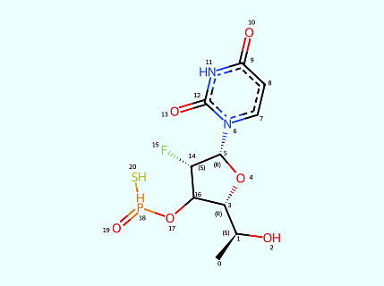 C[C@H](O)[C@H]1O[C@@H](n2ccc(=O)[nH]c2=O)[C@@H](F)C1O[PH](=O)S